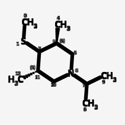 CSC1[C@@H](C)CN(C(C)C)C[C@@H]1C